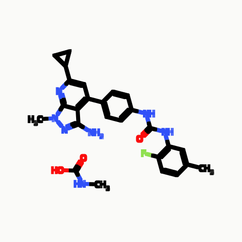 CNC(=O)O.Cc1ccc(F)c(NC(=O)Nc2ccc(-c3cc(C4CC4)nc4c3c(N)nn4C)cc2)c1